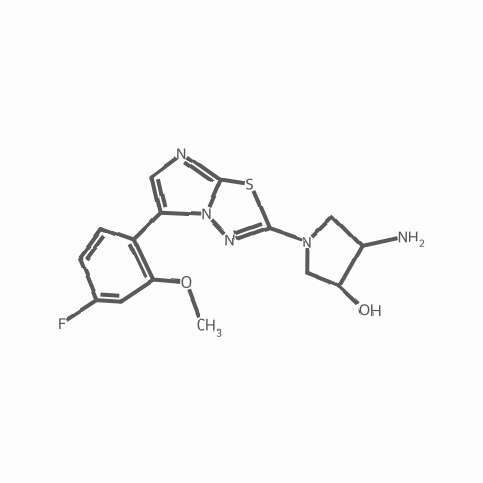 COc1cc(F)ccc1-c1cnc2sc(N3CC(N)C(O)C3)nn12